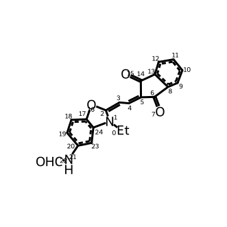 CCN1C(=CC=C2C(=O)c3ccccc3C2=O)Oc2ccc(NC=O)cc21